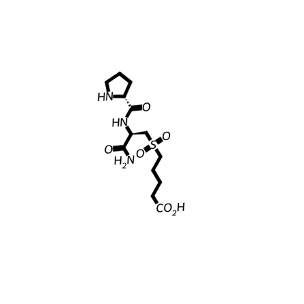 NC(=O)[C@H](CS(=O)(=O)CCCCC(=O)O)NC(=O)[C@H]1CCCN1